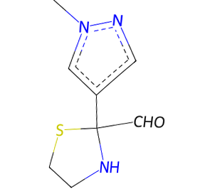 Cn1cc(C2(C=O)NCCS2)cn1